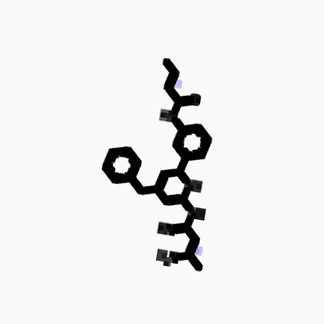 C/C=C/C(=O)Nc1cccc(C2C=C(Cc3ccccc3)C=C(NC(=N)/C=C(/C)N)N2)c1